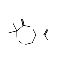 CC1(C)SSC[C@@H](C(=O)O)NC1=O